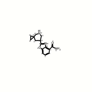 NC(=O)c1cccc2oc(C3CNCC4(CC4)C3)nc12